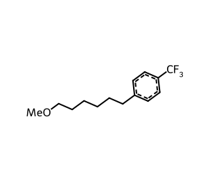 [CH2]OCCCCCCc1ccc(C(F)(F)F)cc1